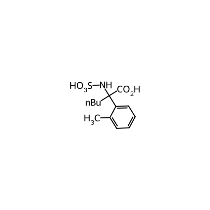 CCCCC(NS(=O)(=O)O)(C(=O)O)c1ccccc1C